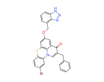 O=c1c(Cc2ccccc2)cn2c3c(cc(OCc4cccc5[nH]nnc45)cc13)Sc1ccc(Br)cc1-2